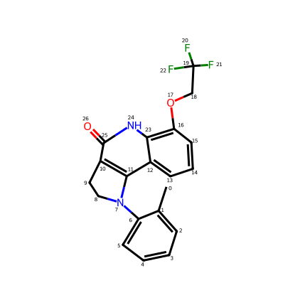 Cc1ccccc1N1CCc2c1c1cccc(OCC(F)(F)F)c1[nH]c2=O